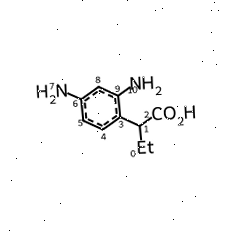 CCC(C(=O)O)c1ccc(N)cc1N